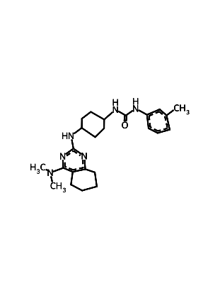 Cc1cccc(NC(=O)NC2CCC(Nc3nc4c(c(N(C)C)n3)CCCC4)CC2)c1